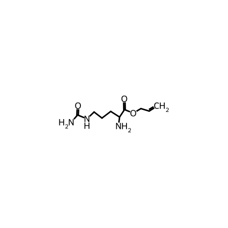 C=CCOC(=O)C(N)CCCNC(N)=O